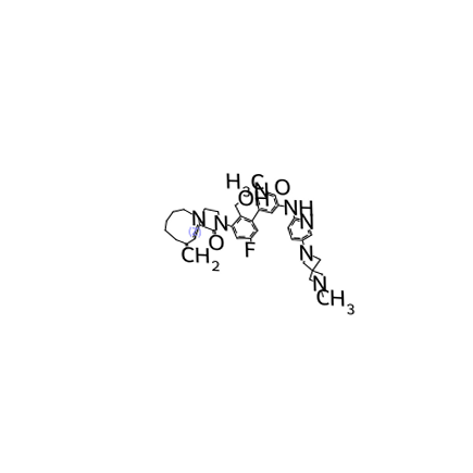 C=C1/C=C2/C(=O)N(c3cc(F)cc(-c4cc(Nc5ccc(N6CC7(CN(C)C7)C6)cn5)c(=O)n(C)c4)c3CO)CCN2CCCCC1